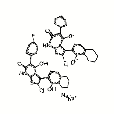 O=c1[nH]c2sc(Cl)c(-c3ccc4c(c3O)CCCC4)c2c(O)c1-c1ccc(F)cc1.O=c1[nH]c2sc(Cl)c(-c3ccc4c(c3[O-])CCCC4)c2c([O-])c1-c1ccccc1.[Na+].[Na+]